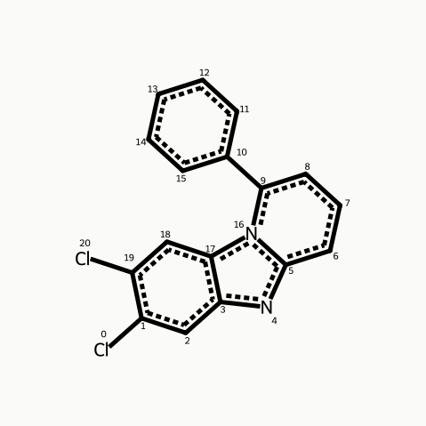 Clc1cc2nc3cccc(-c4ccccc4)n3c2cc1Cl